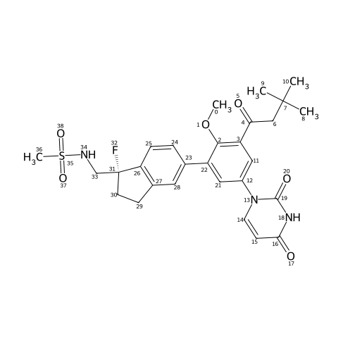 COc1c(C(=O)CC(C)(C)C)cc(-n2ccc(=O)[nH]c2=O)cc1-c1ccc2c(c1)CC[C@@]2(F)CNS(C)(=O)=O